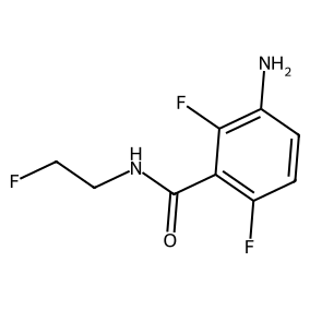 Nc1ccc(F)c(C(=O)NCCF)c1F